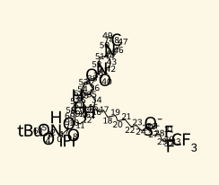 CC(C)[C@@H](NC(=O)OC(C)(C)C)C(=O)O[C@H]1CC[C@H]2[C@@H]3[C@H](CCCCCCCCC[S+]([O-])CCCC(F)(F)C(F)(F)F)Cc4cc(OC(=O)N5CCC(N6CCCCC6)CC5)ccc4[C@H]3CC[C@]12C